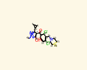 Cn1nc(C2CC2)c(C(=O)c2ccc(Cl)c(CN3CCSCC3)c2Cl)c1O